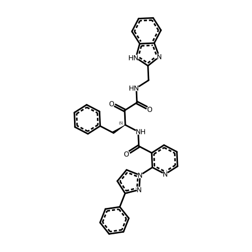 O=C(NCc1nc2ccccc2[nH]1)C(=O)[C@H](Cc1ccccc1)NC(=O)c1cccnc1-n1ccc(-c2ccccc2)n1